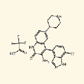 Nc1c(-c2ccc(Cl)c3[nH]ncc23)c2cc(C3CCNCC3)ccc2[nH]c1=O.O=C(O)C(F)(F)F